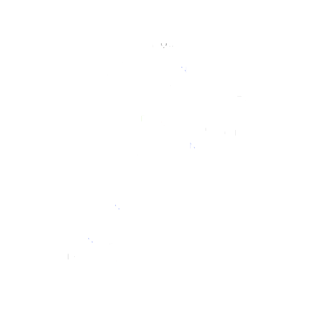 C=C(NC(=O)c1ccc(N2CCN(C)C(=O)C2)cc1)c1cc(-c2c(F)cccc2OC)ncc1C